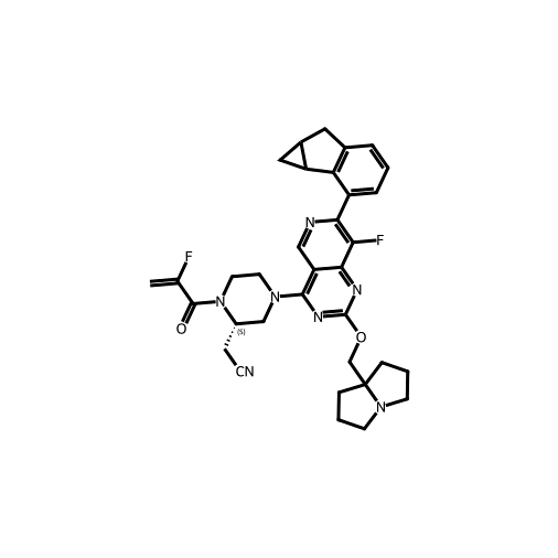 C=C(F)C(=O)N1CCN(c2nc(OCC34CCCN3CCC4)nc3c(F)c(-c4cccc5c4C4CC4C5)ncc23)C[C@@H]1CC#N